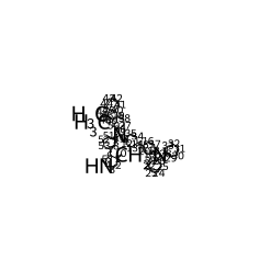 C=C1C=CNCC1C1=CC(N(C2=CCC(c3ccc4c(c3)C3C=CC=CC3N4c3ccccc3)C=C2)C2CC=C3C4C=CCCC4C(C)(C)C3C2)=CCC1